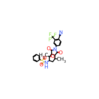 CC12CC(NS(=O)(=O)c3ccccc3)C(C)(O1)C1C(=O)N(c3ccc(C#N)c(C(F)(F)F)c3)C(=O)C12